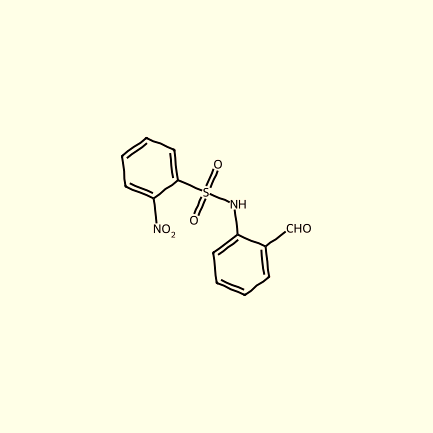 O=Cc1ccccc1NS(=O)(=O)c1ccccc1[N+](=O)[O-]